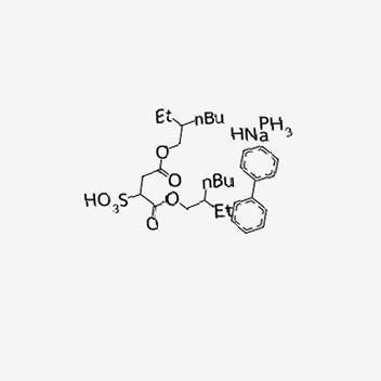 CCCCC(CC)COC(=O)CC(C(=O)OCC(CC)CCCC)S(=O)(=O)O.P.[NaH].c1ccc(-c2ccccc2)cc1